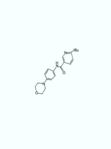 CC(C)(C)c1ccc(C(=O)Nc2ccc(N3CCOCC3)cc2)cn1